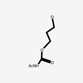 CC(=O)NC(=O)OCCC[O]